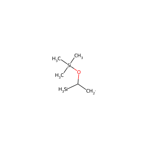 [CH2]C([SiH3])O[Si](C)(C)C